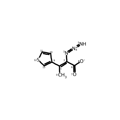 CC(=C(N=[N+]=N)C(=O)[O-])c1ccsc1